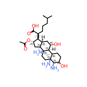 CC(=O)O[C@H]1C[C@@]2(C)[C@@H](C[C@@H](O)[C@@H]3[C@]2(N)CC[C@@]2(N)[C@H](N)[C@H](O)CC[C@]32C)/C1=C(\CCCC(C)C)C(=O)O